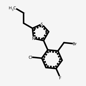 C[CH]Cc1nc(-c2c(Cl)cc(F)cc2CBr)cs1